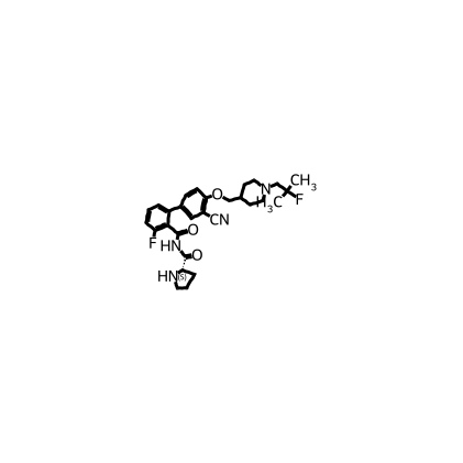 CC(C)(F)CN1CCC(COc2ccc(-c3cccc(F)c3C(=O)NC(=O)[C@@H]3CCCN3)cc2C#N)CC1